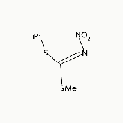 CSC(=N[N+](=O)[O-])SC(C)C